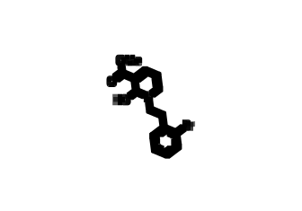 COC(=O)C1=CC=CN(CCc2ccccc2Br)C1O